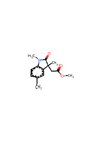 COC(=O)CC1(C)C(=O)N(C)c2ccc(C)cc21